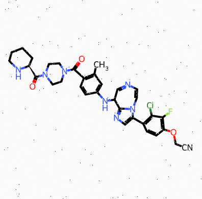 Cc1cc(NC2C=NC=Cn3c(-c4ccc(OCC#N)c(F)c4Cl)cnc32)ccc1C(=O)N1CCN(C(=O)[C@@H]2CCCCN2)CC1